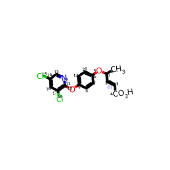 CC(/C=C/C(=O)O)Oc1ccc(Oc2ncc(Cl)cc2Cl)cc1